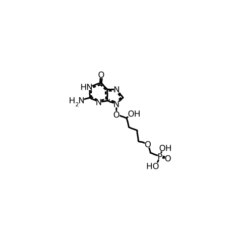 Nc1nc2c(ncn2OC(O)CCCOCP(=O)(O)O)c(=O)[nH]1